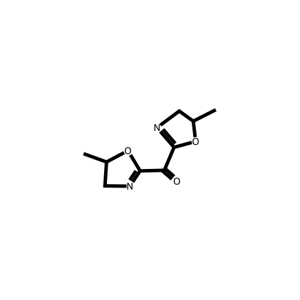 CC1CN=C(C(=O)C2=NCC(C)O2)O1